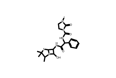 CC1N2C(O)C(NC(=O)C(NC(=O)N3CCN(I)C3=O)c3ccccc3)C2SC1(C)C